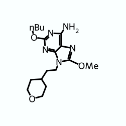 CCCCOc1nc(N)c2nc(OC)n(CCC3CCOCC3)c2n1